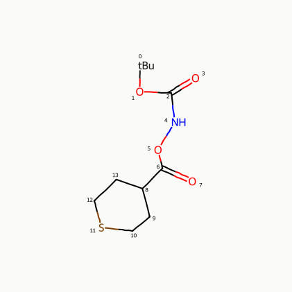 CC(C)(C)OC(=O)NOC(=O)C1CCSCC1